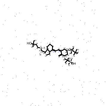 C=C1/C(=C\C=C2/CCC[C@@]3(C)C2CC[C@@H]3[C@H](C)OCCC(C)(C)O)C[C@@H](O[Si](C)(C)C(C)(C)C)C[C@@H]1CC(C)(C)[Si](C)(C)O